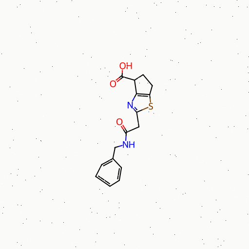 O=C(Cc1nc2c(s1)CCC2C(=O)O)NCc1ccccc1